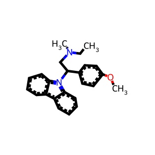 CCN(C)CC(c1ccc(OC)cc1)n1c2ccccc2c2ccccc21